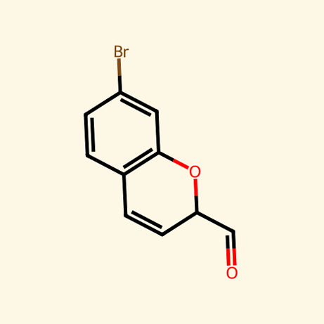 O=CC1C=Cc2ccc(Br)cc2O1